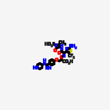 C[C@@H]1[C@H](NC(=O)/C(=N\OC(COc2ccc(C(=N)NC3CCNCC3)cc2)C(=O)O)c2nc(N)sc2C(F)(F)F)C(=O)N1S(=O)(=O)O